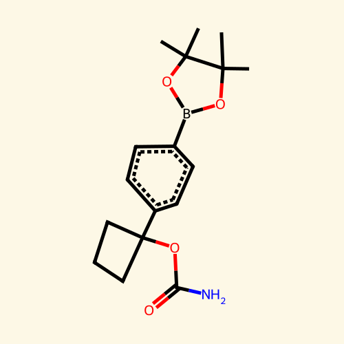 CC1(C)OB(c2ccc(C3(OC(N)=O)CCC3)cc2)OC1(C)C